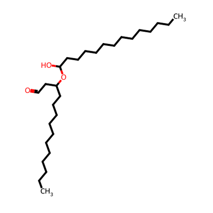 CCCCCCCCCCCCCC(O)OC(CC=O)CCCCCCCCCCC